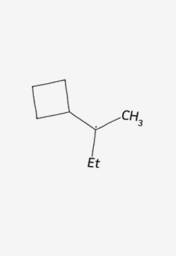 CC[C](C)C1CCC1